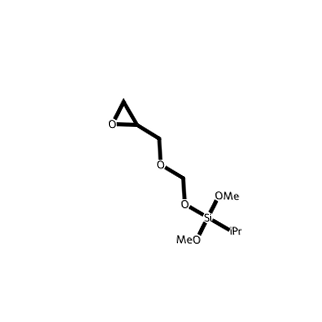 CO[Si](OC)(OCOCC1CO1)C(C)C